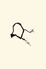 C[C@H]1CCCC[C@H]1P